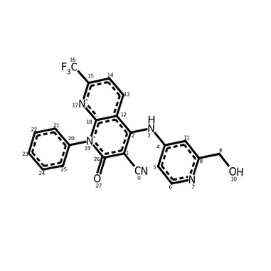 N#Cc1c(Nc2ccnc(CO)c2)c2ccc(C(F)(F)F)nc2n(-c2ccccc2)c1=O